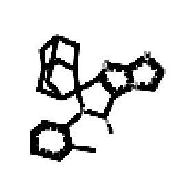 Cc1ccccc1N1[C@@H](C)c2c(oc3nccn23)C12C1CC3CC(C1)CC2C3